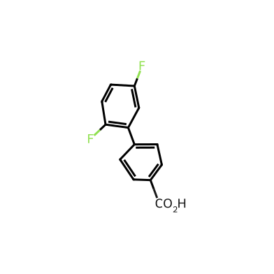 O=C(O)c1ccc(-c2cc(F)ccc2F)cc1